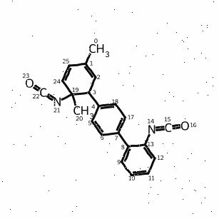 CC1=CC(c2ccc(-c3ccccc3N=C=O)cc2)C(C)(N=C=O)C=C1